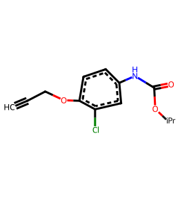 C#CCOc1ccc(NC(=O)OC(C)C)cc1Cl